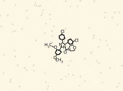 CCOc1cc(OC)ccc1C1=NC(c2ccc(Cl)cc2)C(c2ccc(Cl)cc2)N1C(=O)N1CCOCC1